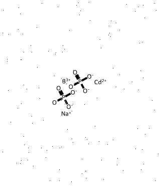 O=P([O-])([O-])[O-].O=P([O-])([O-])[O-].[B+3].[Cd+2].[Na+]